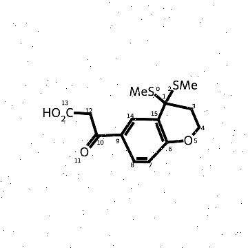 CSC1(SC)CCOc2ccc(C(=O)CC(=O)O)cc21